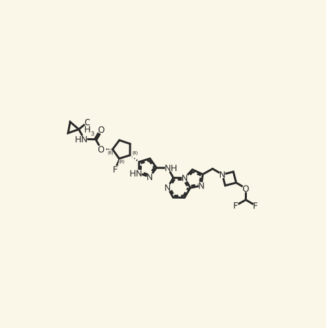 CC1(NC(=O)O[C@@H]2CC[C@H](c3cc(Nc4nccc5nc(CN6CC(OC(F)F)C6)cn45)n[nH]3)[C@H]2F)CC1